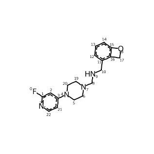 Fc1cc(N2CCN(CNCc3cccc4c3CO4)CC2)ccn1